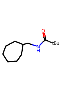 CC(C)(C)C(=O)NCC1CCCCCC1